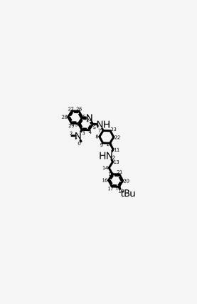 CN(C)c1cc(NC2CCC(CNCCc3ccc(C(C)(C)C)cc3)CC2)nc2ccccc12